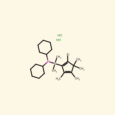 CC1=C(C)C(C)(C)[C]([Cr])=C1[Si](C)(C)P(C1CCCCC1)C1CCCCC1.Cl.Cl